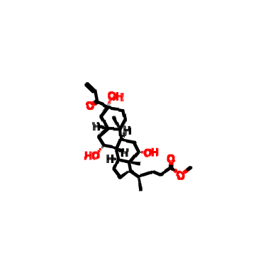 C=CC(=O)[C@@]1(O)CC[C@@]2(C)[C@H](C[C@@H](O)[C@@H]3[C@@H]2C[C@H](O)[C@]2(C)[C@@H]([C@H](C)CCC(=O)OC)CC[C@@H]32)C1